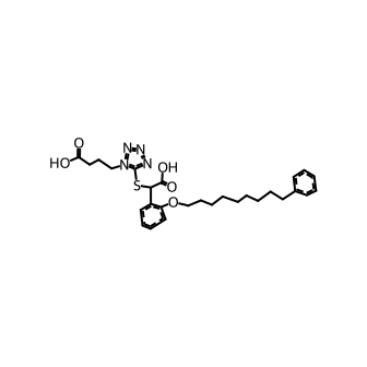 O=C(O)CCCn1nnnc1SC(C(=O)O)c1ccccc1OCCCCCCCCCc1ccccc1